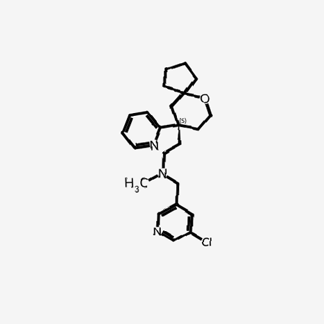 CN(CC[C@]1(c2ccccn2)CCOC2(CCCC2)C1)Cc1cncc(Cl)c1